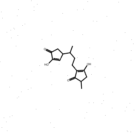 CC1CC(O)=C(CCC(C)C2C=C(O)C(=O)C2)C1=O